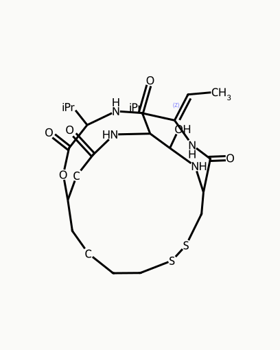 C/C=C1\NC(=O)C2CSSCCCCC(CC(=O)NC(C(C)C)C(O)N2)OC(=O)C(C(C)C)NC1=O